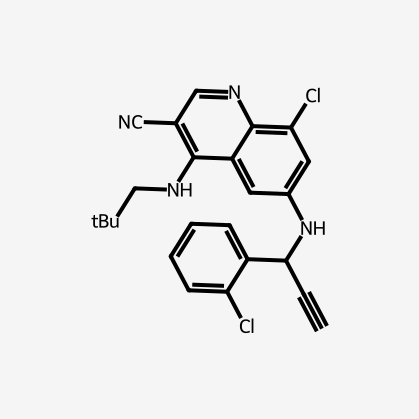 C#CC(Nc1cc(Cl)c2ncc(C#N)c(NCC(C)(C)C)c2c1)c1ccccc1Cl